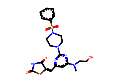 CN(CCO)c1cc(C=C2SC(=O)NC2=O)nc(N2CCN(S(=O)(=O)c3ccccc3)CC2)n1